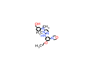 CCCOc1cc(Nc2nccc(N(C)c3cc(CO)ccc3C)n2)cc(N2CCOCC2)c1